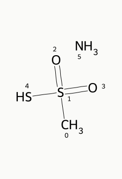 CS(=O)(=O)S.N